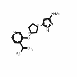 C=C(C)c1ccncc1O[C@@H]1CC[C@H](c2cc(NC(C)=O)n[nH]2)C1